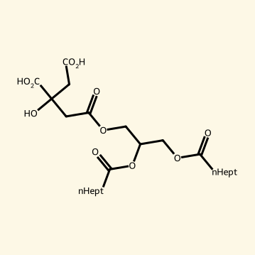 CCCCCCCC(=O)OCC(COC(=O)CC(O)(CC(=O)O)C(=O)O)OC(=O)CCCCCCC